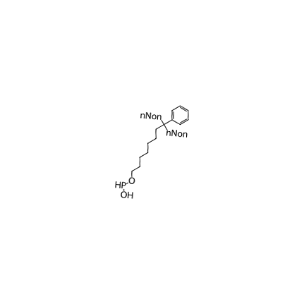 CCCCCCCCCC(CCCCCCCCC)(CCCCCCCOPO)c1ccccc1